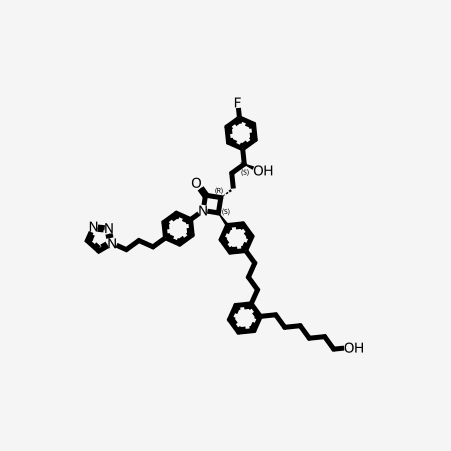 O=C1[C@H](CC[C@H](O)c2ccc(F)cc2)[C@@H](c2ccc(CCCc3ccccc3CCCCCCO)cc2)N1c1ccc(CCCn2ccnn2)cc1